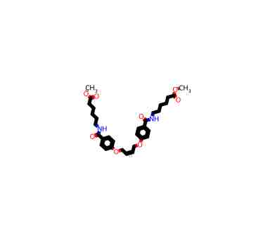 COC(=O)CCCCCNC(=O)c1ccc(OC/C=C\COc2ccc(C(=O)NCCCCCC(=O)OC)cc2)cc1